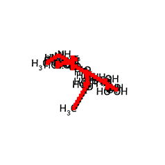 CCCCCCCCCCCCCCCC(=O)NC(O)(CCC(=O)N[C@@H](CCCCNC(=O)CNCCN(CCN(CCNCC(=O)O)CC(=O)O)CC(=O)O)C(=O)NCCCCOc1cccc([C@@H](C(=O)N[C@H](CCCN/C(N)=N\C(=O)NCCNC(=O)CC)C(=O)NCc2ccc(O)cc2)c2ccccc2)c1)C(=O)O